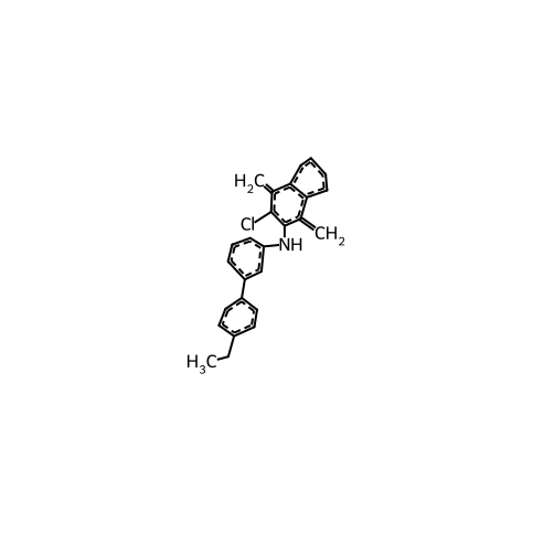 C=c1c(Cl)c(Nc2cccc(-c3ccc(CC)cc3)c2)c(=C)c2ccccc12